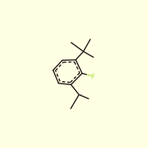 C[C](C)c1cccc(C(C)(C)C)c1F